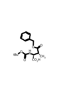 C[C@@H](C(=O)OCc1ccccc1)[C@H](NC(=O)OC(C)(C)C)C(=O)O